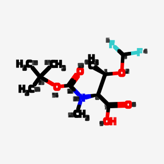 C[C@@H](OC(F)F)[C@@H](C(=O)O)N(C)C(=O)OC(C)(C)C